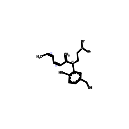 C=C(/C=C\C=C/C)[C@@H](CCN(C(C)C)C(C)C)c1cc(CO)ccc1O